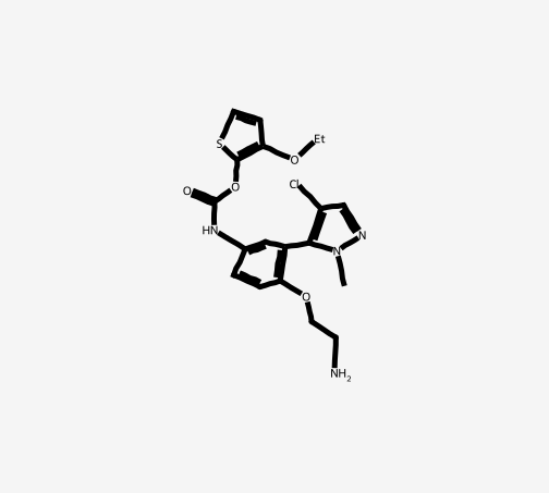 CCOc1ccsc1OC(=O)Nc1ccc(OCCN)c(-c2c(Cl)cnn2C)c1